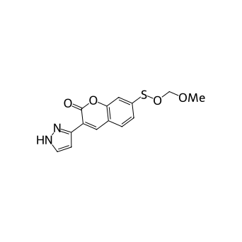 COCOSc1ccc2cc(-c3cc[nH]n3)c(=O)oc2c1